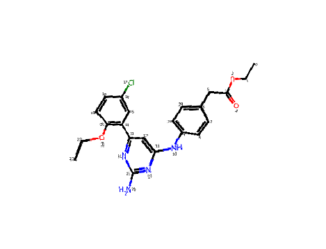 CCOC(=O)Cc1ccc(Nc2cc(-c3cc(Cl)ccc3OCC)nc(N)n2)cc1